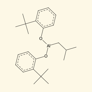 CC(C)[CH2][Al]([O]c1ccccc1C(C)(C)C)[O]c1ccccc1C(C)(C)C